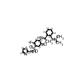 C[C@@H](Nc1cc(F)c(S(=O)(=O)Nc2nccs2)cc1Cl)c1ccccc1CN(C)C